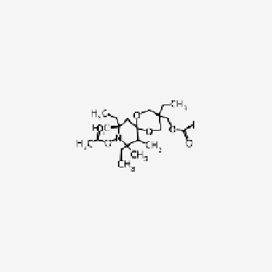 CCC1(COC(=O)I)COC2(CC(C)(CC)N(OC(C)=O)C(C)(CC)C2C)OC1